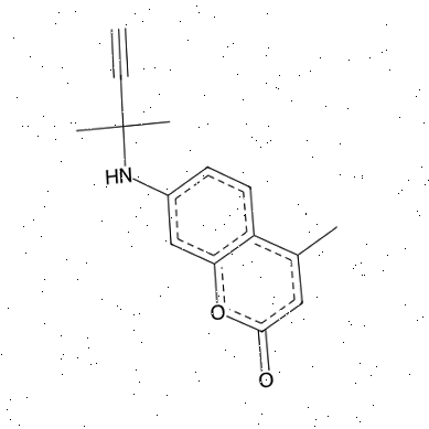 C#CC(C)(C)Nc1ccc2c(C)cc(=O)oc2c1